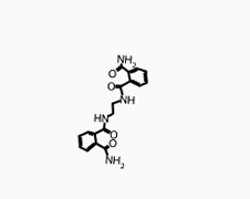 NC(=O)c1ccccc1C(=O)NCCNC(=O)c1ccccc1C(N)=O